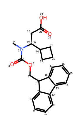 CN(C(=O)OCC1c2ccccc2-c2ccccc21)[C@@H](CC(=O)O)C1CCC1